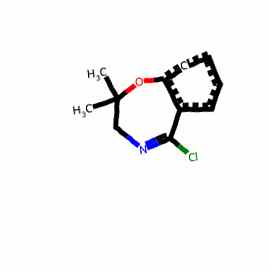 CC1(C)CN=C(Cl)c2ccccc2O1